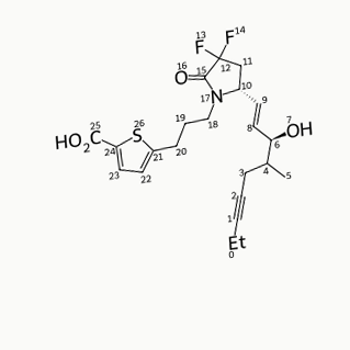 CCC#CCC(C)[C@H](O)C=C[C@H]1CC(F)(F)C(=O)N1CCCc1ccc(C(=O)O)s1